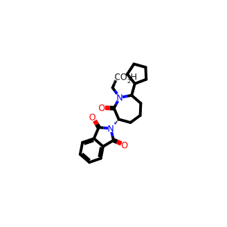 O=C(O)CN1C(=O)[C@@H](N2C(=O)c3ccccc3C2=O)CCCC1C1CCCC1